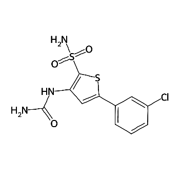 NC(=O)Nc1cc(-c2cccc(Cl)c2)sc1S(N)(=O)=O